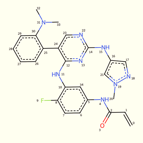 C=CC(=O)Nc1ccc(F)c(Nc2nc(Nc3cnn(C)c3)ncc2-c2ccccc2N(C)C)c1